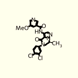 COc1cncc(C(=O)Nc2cnn3c2C(=O)N(c2ccc(Cl)c(Cl)c2)C[C@@H]3C)c1